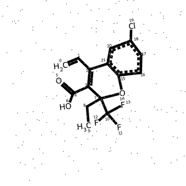 C=CC1=C(C(=O)O)C(CC)(C(F)(F)F)Oc2ccc(Cl)cc21